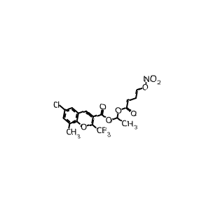 Cc1cc(Cl)cc2c1OC(C(F)(F)F)C(C(=O)OC(C)OC(=O)CCCO[N+](=O)[O-])=C2